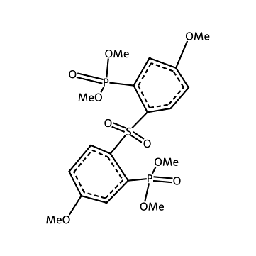 COc1ccc(S(=O)(=O)c2ccc(OC)cc2P(=O)(OC)OC)c(P(=O)(OC)OC)c1